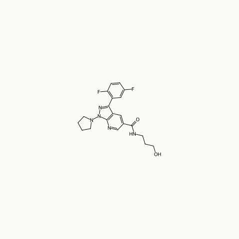 O=C(NCCCO)c1cnc2c(c1)c(-c1cc(F)ccc1F)nn2N1CCCC1